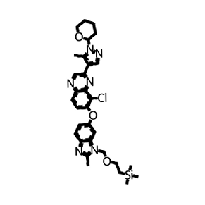 Cc1c(-c2cnc3ccc(Oc4ccc5nc(C)n(COCC[Si](C)(C)C)c5c4)c(Cl)c3n2)cnn1C1CCCCO1